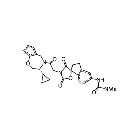 CNC(=O)Nc1ccc2c(c1)CC[C@]21OC(=O)N(CC(=O)N2Cc3ccsc3OC[C@H]2C2CC2)C1=O